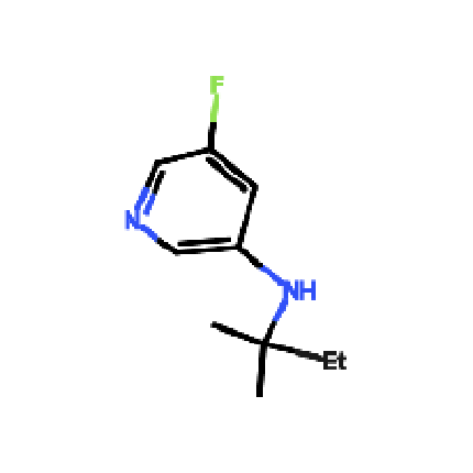 CCC(C)(C)Nc1cncc(F)c1